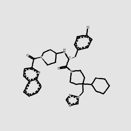 O=C(c1ccc2ccccc2n1)N1CCC(N[C@H](Cc2ccc(Cl)cc2)C(=O)N2CCC(Cn3cncn3)(C3CCCCC3)CC2)CC1